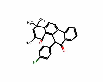 CC1=CC(C)(C)c2ccc3c(c2C1=O)C(c1ccc(Br)cc1)C(=O)c1ccccc1-3